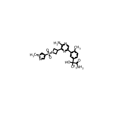 Cc1ccc(C(O)(C(N)=O)C(F)(F)F)cc1-c1cnc(N)c(C2CN(S(=O)(=O)c3cnn(C)c3)C2)n1